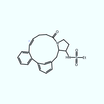 CCS(=O)(=O)NC1CCN2C(=O)CC/C=C\c3ccccc3-c3cccc(c3)CC12